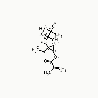 C=C(C)C(=O)OC1CC1(CC)OC(C)(C)C(C)(C)O